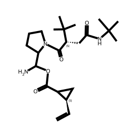 C=C[C@@H]1CC1C(=O)OC(N)C1CCCN1C(=O)[C@@H](CC(=O)NC(C)(C)C)C(C)(C)C